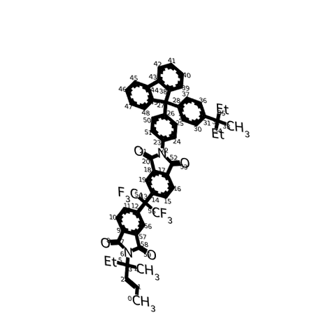 C/C=C/C(C)(CC)N1C(=O)c2ccc(C(c3ccc4c(c3)C(=O)N(c3ccc(C5(c6ccc(C(C)(CC)CC)cc6)c6ccccc6-c6ccccc65)cc3)C4=O)(C(F)(F)F)C(F)(F)F)cc2C1=O